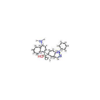 CN(C)c1ccc(C(O)(c2ccc3c(cnn3-c3ccccc3)c2)C(F)(F)F)c2ccccc12